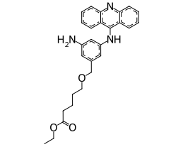 CCOC(=O)CCCCOCc1cc(N)cc(Nc2c3ccccc3nc3ccccc23)c1